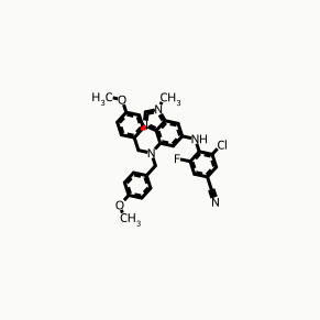 COc1ccc(CN(Cc2ccc(OC)cc2)c2cc(Nc3c(F)cc(C#N)cc3Cl)cc3c2ncn3C)cc1